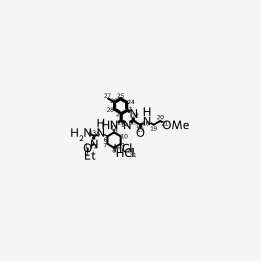 CCO/N=C(\N)N[C@@H]1CCCC[C@@H]1Nc1nc(C(=O)NCCOC)nc2ccc(C)cc12.Cl.Cl